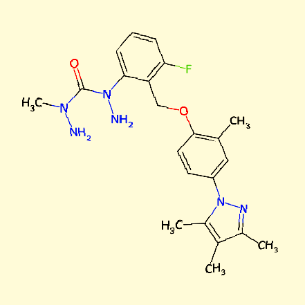 Cc1cc(-n2nc(C)c(C)c2C)ccc1OCc1c(F)cccc1N(N)C(=O)N(C)N